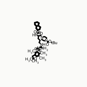 Cc1c(C)c(S(=O)(=O)N=C(N)NCCCC(NS(=O)(=O)c2ccc3ccccc3c2)C(=O)N2CCN(C(=O)OC(C)(C)C)CC2)c(C)c2c1OC(C)(C)C2